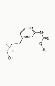 CC(C)(CO)CCc1ccnc(NC(=O)OC(C)(C)C)c1